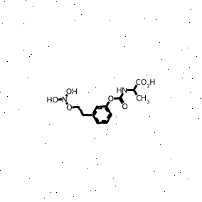 CC(NC(=O)Oc1cccc(CCON(O)O)c1)C(=O)O